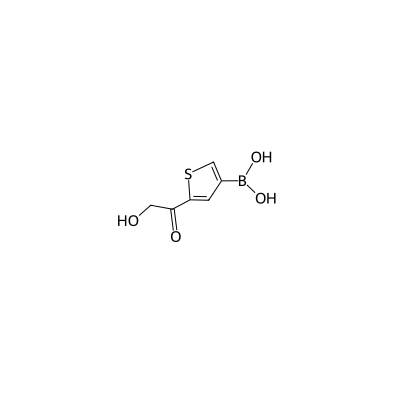 O=C(CO)c1cc(B(O)O)cs1